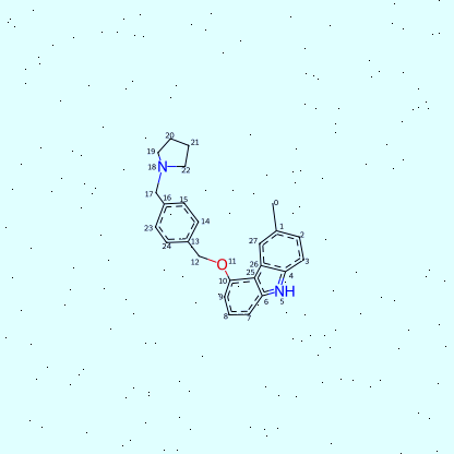 Cc1ccc2[nH]c3cccc(OCc4ccc(CN5CCCC5)cc4)c3c2c1